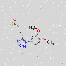 COc1ccc(-n2nnnc2CCCC(O)=S)cc1OC